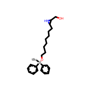 CC(C)(C)[Si](OCCCCCCCCC1NC1CO)(c1ccccc1)c1ccccc1